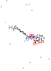 CCCCCCCCCCCC(=O)N[C@@H](CCC(=O)O)C(=O)N(CC)CC